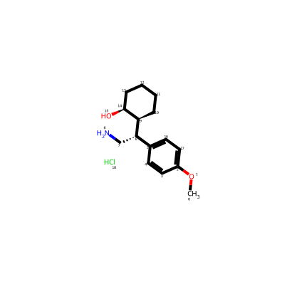 COc1ccc([C@H](CN)[C@@H]2CCCC[C@@H]2O)cc1.Cl